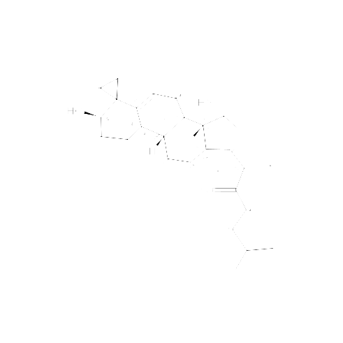 CC(C)CCC(=O)[C@@H](C)[C@H]1CC[C@H]2[C@@H]3CC=C4C5(CC5)[C@H](O)CC[C@]4(C)[C@H]3CC[C@]12C